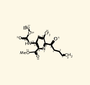 C=CCCC(=O)c1nc(C(=O)OC)c(NC(=O)OC(C)(C)C)cc1C(F)(F)F